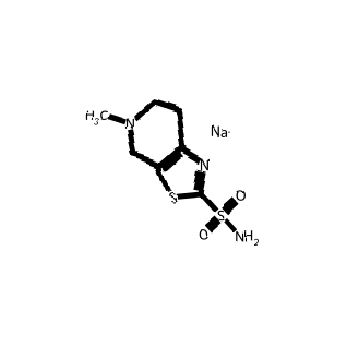 CN1CCc2nc(S(N)(=O)=O)sc2C1.[Na]